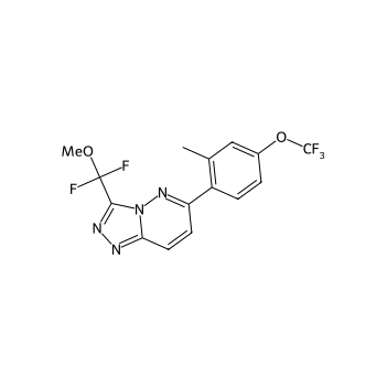 COC(F)(F)c1nnc2ccc(-c3ccc(OC(F)(F)F)cc3C)nn12